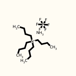 CCCC[N+](CCCC)(CCCC)CCCC.F[P-](F)(F)(F)(F)F.N